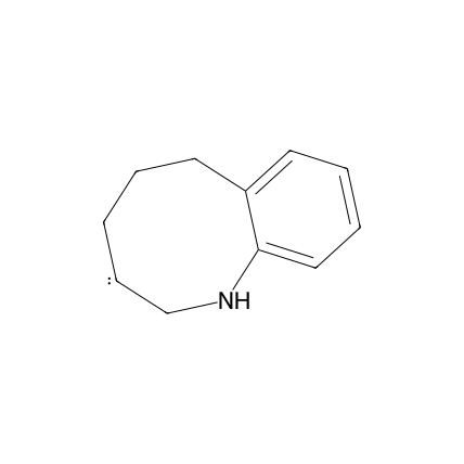 [C]1CCCc2ccccc2NC1